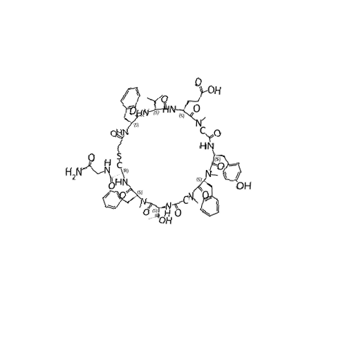 CC(C)[C@@H]1NC(=O)[C@H](Cc2ccccc2)NC(=O)CSC[C@@H](C(=O)NCC(N)=O)NC(=O)[C@H](Cc2ccccc2)N(C)C(=O)[C@H]([C@@H](C)O)NC(=O)CN(C)C(=O)[C@H](Cc2ccccc2)N(C)C(=O)[C@H](Cc2ccc(O)cc2)NC(=O)CN(C)C(=O)[C@H](CCC(=O)O)NC1=O